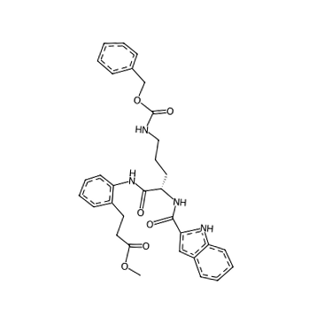 COC(=O)CCc1ccccc1NC(=O)[C@H](CCCNC(=O)OCc1ccccc1)NC(=O)c1cc2ccccc2[nH]1